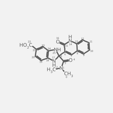 CN(C)C(=O)C1(c2cc3ccccc3[nH]c2=O)Nc2ccc(C(=O)O)cc2N1